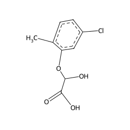 Cc1ccc(Cl)cc1OC(O)C(=O)O